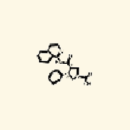 O=C(Nc1nccc2ccccc12)[C@H]1CN(C(=O)O)C[C@@H]1c1ccccc1